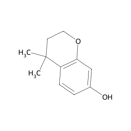 CC1(C)CCOc2cc(O)ccc21